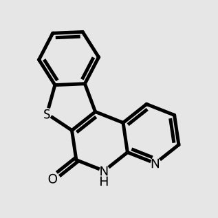 O=c1[nH]c2ncccc2c2c1sc1ccccc12